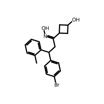 Cc1ccccc1C(C/C(=N/O)C1CC(O)C1)c1ccc(Br)cc1